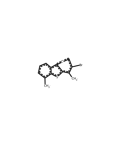 [CH2]c1cccc2c1sc1c([CH2])c(Br)ccc12